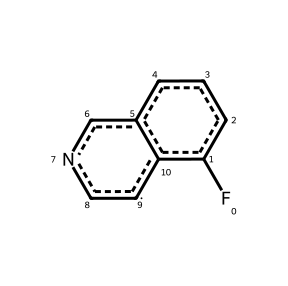 Fc1cccc2cnc[c]c12